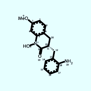 COc1ccc2c(c1)N(O)C(=O)[C@@H](Cc1ccccc1N)C2